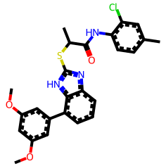 COc1cc(OC)cc(-c2cccc3nc(SC(C)C(=O)Nc4ccc(C)cc4Cl)[nH]c23)c1